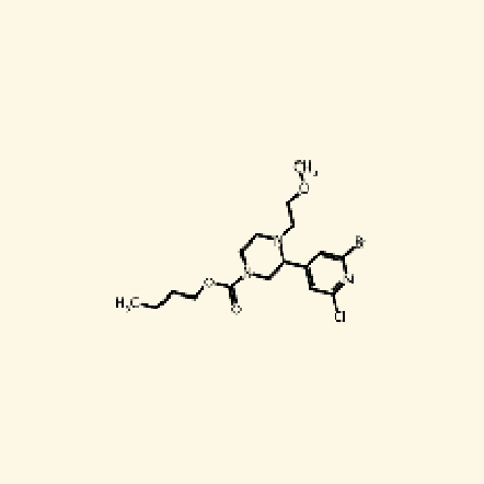 CCCCOC(=O)N1CCN(CCOC)C(c2cc(Cl)nc(Br)c2)C1